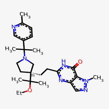 CCOC(C)(C)[C@@]1(CCc2nc3cnn(C)c3c(=O)[nH]2)CCN(C(C)(C)c2ccc(C)nc2)C1